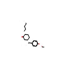 CCCCC[C@@H]1CC[C@@H](C(C)c2ccc(OCC)cc2)CC1=O